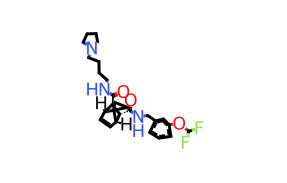 O=C(NCCCCN1CCCC1)[C@H]1[C@H](C(=O)NCc2cccc(OC(F)F)c2)[C@@H]2C=C[C@H]1C21CC1